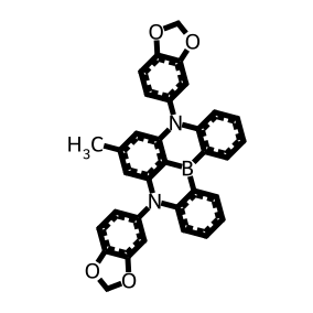 Cc1cc2c3c(c1)N(c1ccc4c(c1)OCO4)c1ccccc1B3c1ccccc1N2c1ccc2c(c1)OCO2